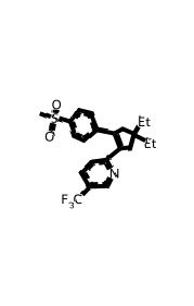 CCC1(CC)CC(c2ccc(S(C)(=O)=O)cc2)=C(c2ccc(C(F)(F)F)cn2)C1